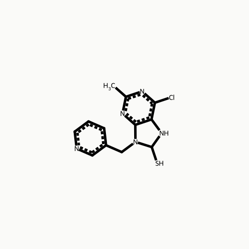 Cc1nc(Cl)c2c(n1)N(Cc1cccnc1)C(S)N2